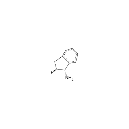 N[C@H]1c2ccccc2C[C@@H]1F